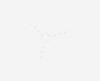 C[C](C)c1c(C(F)(F)C(F)(F)C(F)(F)C(F)(F)F)cc(C(F)(F)C(F)(F)C(F)(F)C(F)(F)F)cc1C(F)(F)C(F)(F)C(F)(F)C(F)(F)F